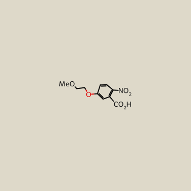 COCCOc1ccc([N+](=O)[O-])c(C(=O)O)c1